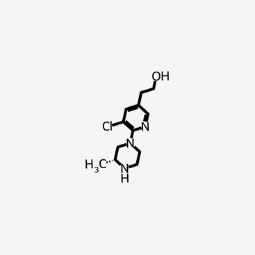 C[C@@H]1CN(c2ncc(CCO)cc2Cl)CCN1